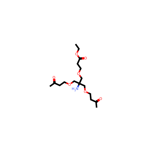 CCOC(=O)CCOCC(N)(COCCC(C)=O)COCCC(C)=O